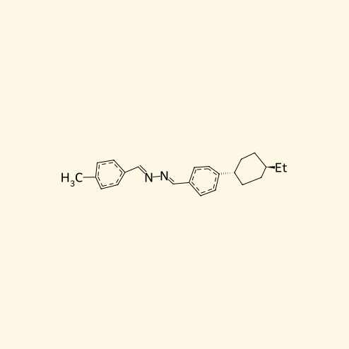 CC[C@H]1CC[C@H](c2ccc(C=NN=Cc3ccc(C)cc3)cc2)CC1